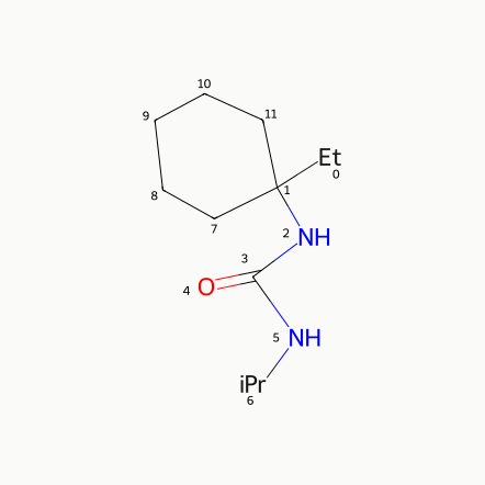 CCC1(NC(=O)NC(C)C)CCCCC1